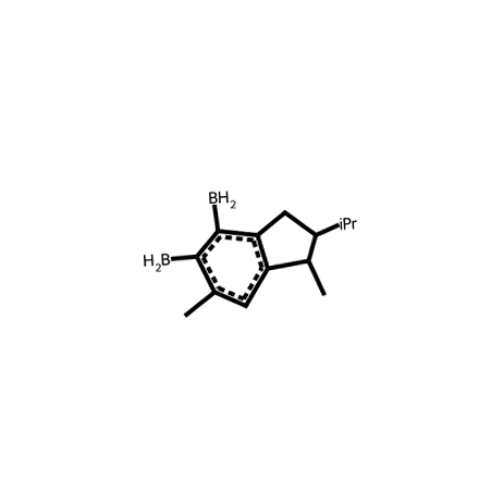 Bc1c(C)cc2c(c1B)CC(C(C)C)C2C